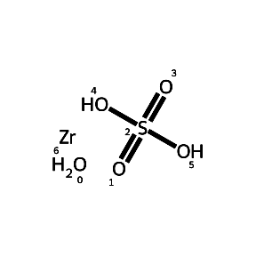 O.O=S(=O)(O)O.[Zr]